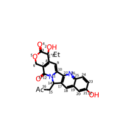 CC[C@@]1(O)C(=O)OCc2c1cc1n(c2=O)C(CC(C)=O)c2cc3cc(O)ccc3nc2-1